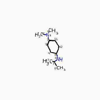 CC(C)NC1CCC(N(C)C)CC1